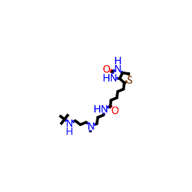 CN(CCCNC(=O)CCCCC1SCC2NC(=O)NC21)CCCNC(C)(C)C